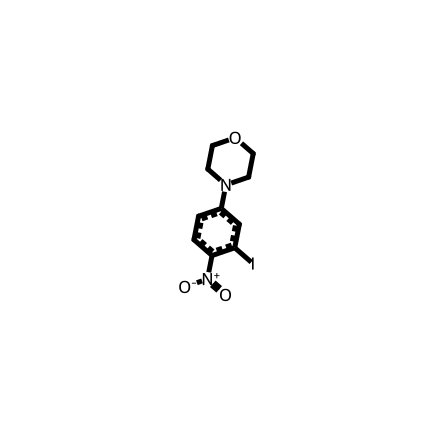 O=[N+]([O-])c1ccc(N2CCOCC2)cc1I